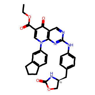 CCOC(=O)c1cn(-c2ccc3c(c2)CCC3)c2nc(Nc3ccc(C[C@H]4COC(=O)N4)cc3)ncc2c1=O